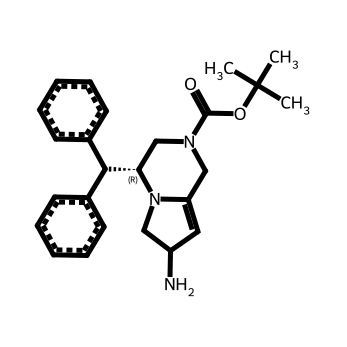 CC(C)(C)OC(=O)N1CC2=CC(N)CN2[C@H](C(c2ccccc2)c2ccccc2)C1